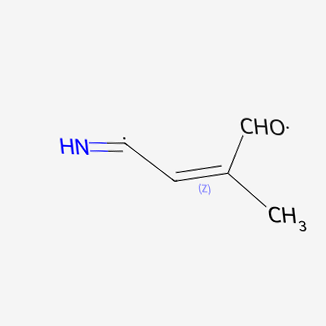 C/C([C]=O)=C/[C]=N